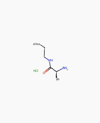 CCCCCCCCNC(=O)[C@@H](N)C(C)C.Cl